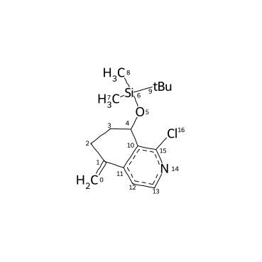 C=C1CCC(O[Si](C)(C)C(C)(C)C)c2c1ccnc2Cl